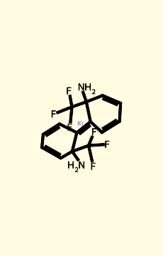 NC1(C(F)(F)F)C=CC=C/C1=C1/C=CC=CC1(N)C(F)(F)F